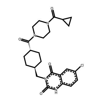 O=C(C1CC1)N1CCN(C(=O)[C@H]2CC[C@H](Cn3c(=O)[nH]c4ccc(Cl)cc4c3=O)CC2)CC1